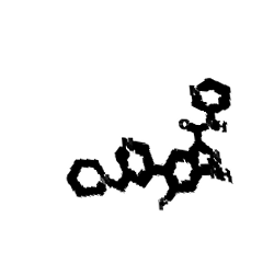 O=C(Nc1cccnc1)c1n[nH]c2cc(F)c(-c3cncc(CN4CCCCC4)c3)cc12